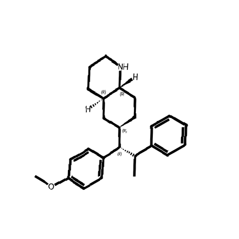 COc1ccc([C@@H](C(C)c2ccccc2)[C@@H]2CC[C@H]3NCCC[C@@H]3C2)cc1